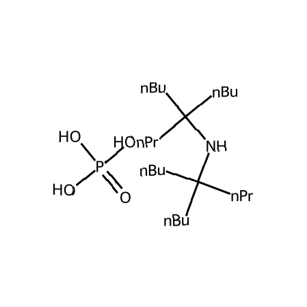 CCCCC(CCC)(CCCC)NC(CCC)(CCCC)CCCC.O=P(O)(O)O